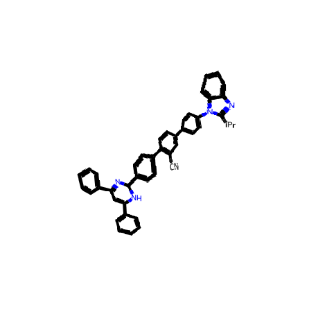 CC(C)c1nc2ccccc2n1-c1ccc(-c2ccc(-c3ccc(C4N=C(c5ccccc5)C=C(c5ccccc5)N4)cc3)c(C#N)c2)cc1